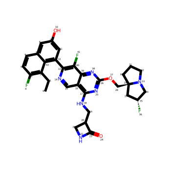 CCc1c(F)ccc2cc(O)cc(-c3ncc4c(NCC5CNC5=O)nc(OC[C@@]56CCCN5C[C@H](F)C6)nc4c3F)c12